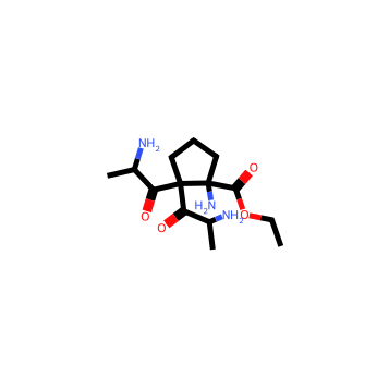 CCOC(=O)C1(N)CCCC1(C(=O)C(C)N)C(=O)C(C)N